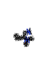 Cc1cc(C)nc(-c2cccc(-c3cc(-c4ccc5c(c4)-c4ccccc4C5(C)C)cc(-c4nc(-c5ccccc5)nc(-c5ccccc5)n4)c3)c2)n1